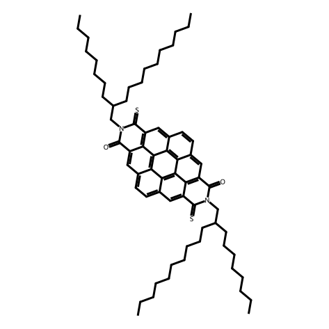 CCCCCCCCCCC(CCCCCCCC)Cn1c(=O)c2cc3ccc4cc5c(=S)n(CC(CCCCCCCC)CCCCCCCCCC)c(=O)c6cc7ccc8cc(c1=S)c2c1c3c4c(c65)c7c81